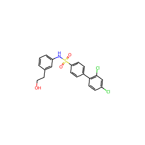 O=S(=O)(Nc1cccc(CCO)c1)c1ccc(-c2ccc(Cl)cc2Cl)cc1